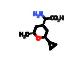 C[C@@H]1C[C@H](C(N)C(=O)O)C[C@@H](C2CC2)O1